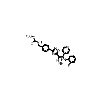 CC(C)(C)OC(=O)NCc1ccc(-c2noc(/C(N=N)=C(/Nc3ccccc3F)c3ccncc3)n2)cc1